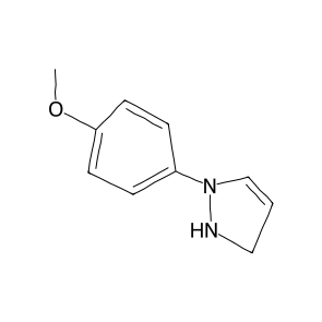 COc1ccc(N2C=CCN2)cc1